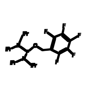 CC(C)N(C(C)C)P(OCc1c(F)c(F)c(F)c(F)c1F)N(C(C)C)C(C)C